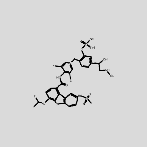 CC(C)(C)NCC(O)c1ccc(C[n+]2cc(Cl)c(NC(=O)c3ccc(OC(F)F)c4oc5ccc(NS(C)(=O)=O)cc5c34)c(Cl)c2)c(OP(=O)(O)O)c1